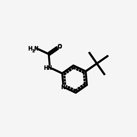 CC(C)(C)c1ccnc(NC(N)=O)c1